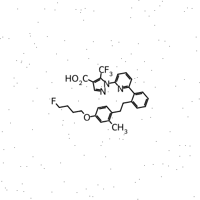 Cc1cc(OCCCCF)ccc1CCc1ccccc1-c1cccc(-n2ncc(C(=O)O)c2C(F)(F)F)n1